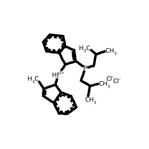 CC1=Cc2ccccc2[CH]1[Hf+2][CH]1C(P(CC(C)C)CC(C)C)=Cc2ccccc21.[Cl-].[Cl-]